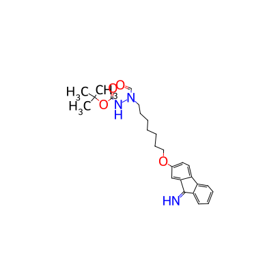 CC(C)(C)OC(=O)NN(C=O)CCCCCCCOc1ccc2c(c1)C(=N)c1ccccc1-2